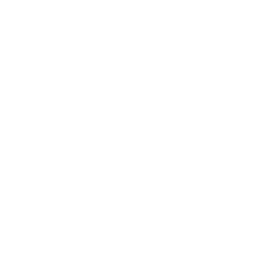 O=CCC=Cc1cccc(F)c1